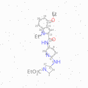 CCOC(=O)N1CC[C@H](Nc2ccc(NC(=O)c3cc4c(OCC)cccc4n3CC)cn2)C1